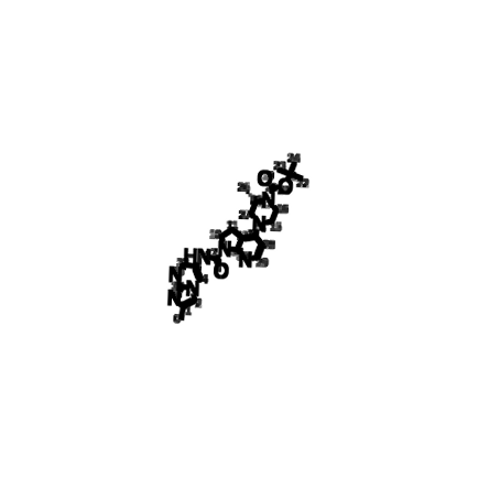 Cc1cn2cc(NC(=O)N3CCc4c(N5CCN(C(=O)OC(C)(C)C)[C@@H](C)C5)ccnc43)cnc2n1